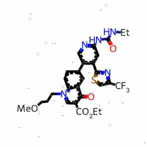 CCNC(=O)Nc1cc(-c2nc(C(F)(F)F)cs2)c(-c2ccc3c(c2)c(=O)c(C(=O)OCC)cn3CCCOC)cn1